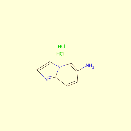 Cl.Cl.Nc1ccc2nccn2c1